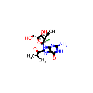 C#C[C@@]1(F)[C@H](O)[C@@H](CO)O[C@@H]1n1c(C(=O)C(C)C)nc2c(=O)[nH]c(N)nc21